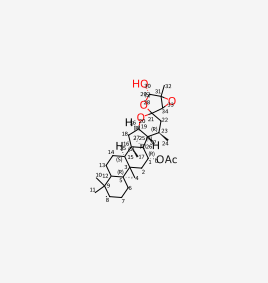 CC(=O)O[C@@H]1CC23C[C@@]24CC[CH]C(C)(C)C4CC[C@H]3[C@]2(C)C[C@H]3OC4(C[C@@H](C)[C@@H]3[C@@]12C)O[C@H](O)C1(C)OC41